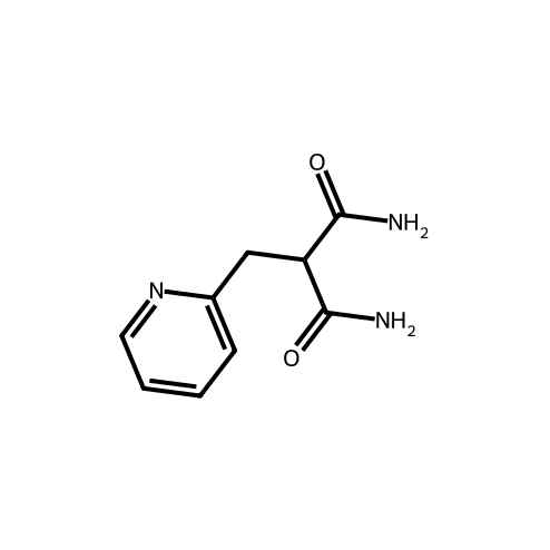 NC(=O)C(Cc1ccccn1)C(N)=O